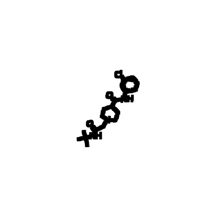 CC(C)(C)NC(=O)CN1CCC(C(=O)Nc2cccc(Cl)c2)CC1